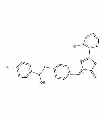 CC(C)(C)c1ccc(C(O)Oc2ccc(/C=C3\N=C(c4ccccc4Cl)OC3=O)cc2)cc1